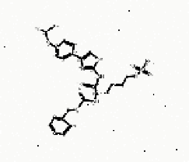 NS(=O)(=O)NCCCC[C@H](NC(=O)OCc1ccccc1)C(=O)Nc1nc(-c2ccc(OC(F)F)cc2)cs1